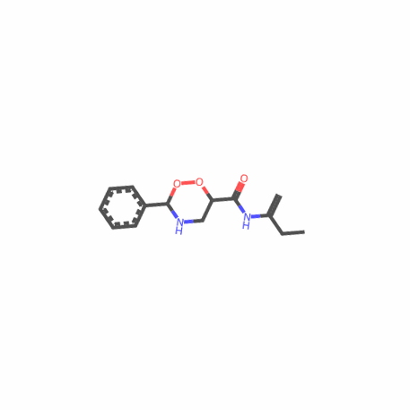 C=C(CC)NC(=O)C1CNC(c2ccccc2)OO1